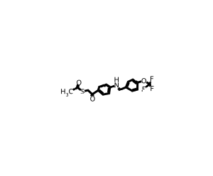 CC(=O)SCC(=O)c1ccc(NCc2ccc(OC(F)(F)F)cc2)cc1